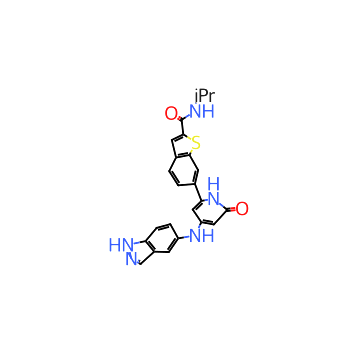 CC(C)NC(=O)c1cc2ccc(-c3cc(Nc4ccc5[nH]ncc5c4)cc(=O)[nH]3)cc2s1